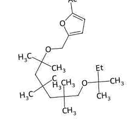 CCC(C)(C)OCC(C)(C)CC(C)(C)CC(C)(C)OCc1ccc(C(C)=O)o1